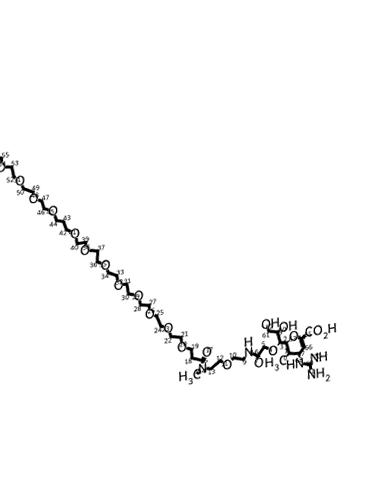 C[C@H]1[C@H]([C@H](OCC(=O)NCCOCCN(C)C(=O)CCOCCOCCOCCOCCOCCOCCOCCOCCCOCCOCCOCCOCCON)[C@H](O)CO)OC(C(=O)O)=C[C@@H]1NC(=N)N